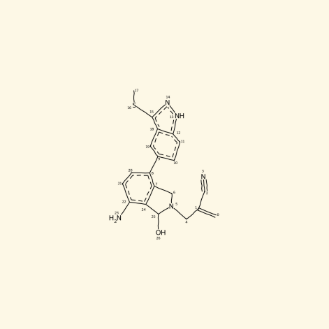 C=C(C#N)CN1Cc2c(-c3ccc4[nH]nc(SC)c4c3)ccc(N)c2C1O